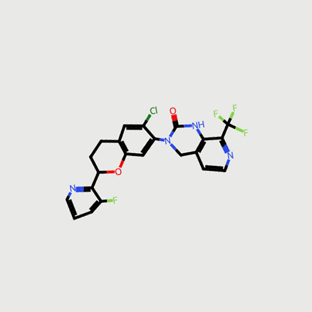 O=C1Nc2c(ccnc2C(F)(F)F)CN1c1cc2c(cc1Cl)CCC(c1ncccc1F)O2